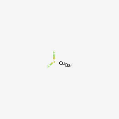 FSF.[Ba].[Cu]